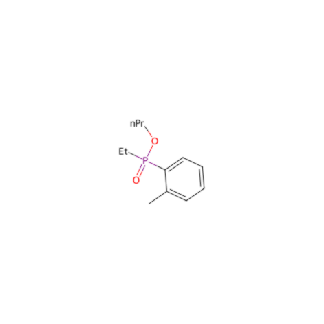 CCCOP(=O)(CC)c1ccccc1C